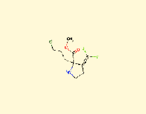 COC(=O)C1(CCCCl)NCCC1=C(F)F